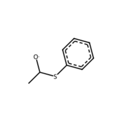 CC([O])Sc1ccccc1